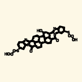 O=c1c2ccc3c4ccc5c(=O)n6c7cc(SOOO)ccc7nc6c6cc(O)c(c7ccc(c2c37)c2nc3ccc(SOOO)cc3n12)c4c56